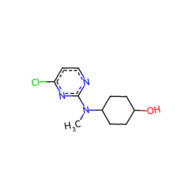 CN(c1nccc(Cl)n1)C1CCC(O)CC1